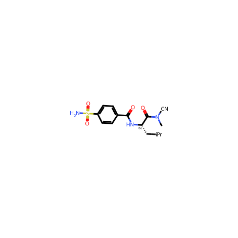 CC(C)C[C@H](NC(=O)c1ccc(S(N)(=O)=O)cc1)C(=O)N(C)C#N